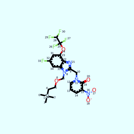 C[Si](C)(C)CCOCn1c(Cn2cccc([N+](=O)[O-])c2=O)nc2c(OC(F)(F)C(F)F)cc(F)cc21